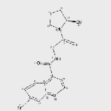 CCc1ccc2c(C(=O)NCC(=O)N3CCC[C@H]3C#N)ccnc2c1